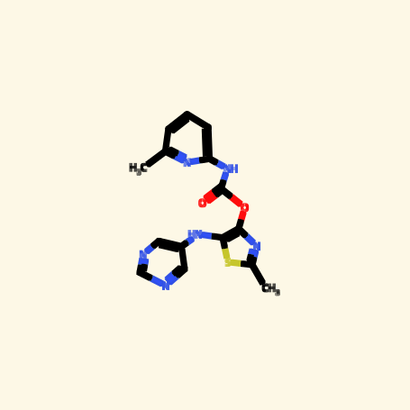 Cc1cccc(NC(=O)Oc2nc(C)sc2Nc2cncnc2)n1